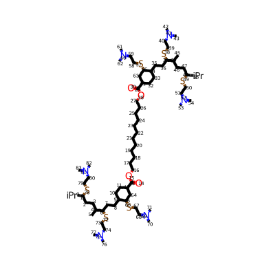 CC(C)C(CCC(C)C(CCC1CCC(C(=O)OCCCCCCCCCCCCOC(=O)C2CCC(CCC(SCCN(C)C)C(C)CCC(SCCN(C)C)C(C)C)C(SCCN(C)C)C2)CC1SCCN(C)C)SCCN(C)C)SCCN(C)C